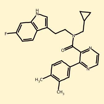 Cc1ccc(-c2nccnc2C(=O)N(CCc2c[nH]c3cc(F)ccc23)CC2CC2)cc1C